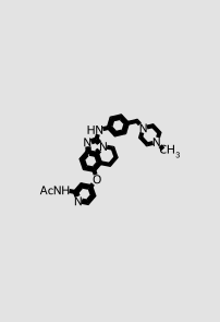 CC(=O)Nc1cc(Oc2ccc3nc(Nc4ccc(CN5CCN(C)CC5)cc4)n4c3c2CCC4)ccn1